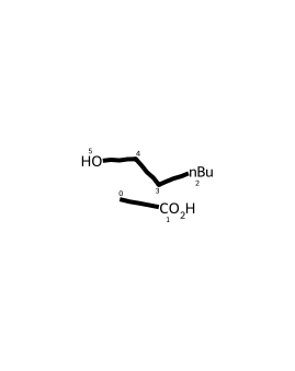 CC(=O)O.CCCCCCO